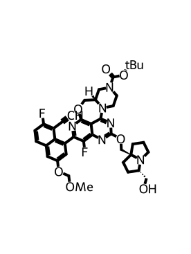 C#Cc1c(F)ccc2cc(OCOC)cc(-c3nc4c5c(nc(OC[C@@]67CCCN6[C@H](CO)CC7)nc5c3F)N3CCN(C(=O)OC(C)(C)C)C[C@H]3CO4)c12